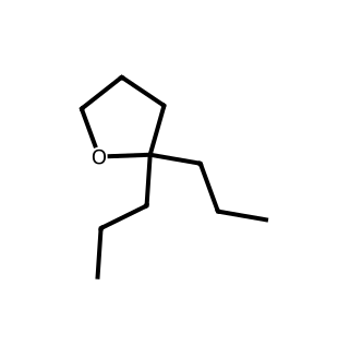 CCCC1(CCC)CCCO1